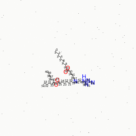 CCCCCCCCCCOC(=O)CCCCCN(CCCCCCCC(=O)OC(CCCCC)CCCCCC)CCCN/C(=N/C#N)N(C)C